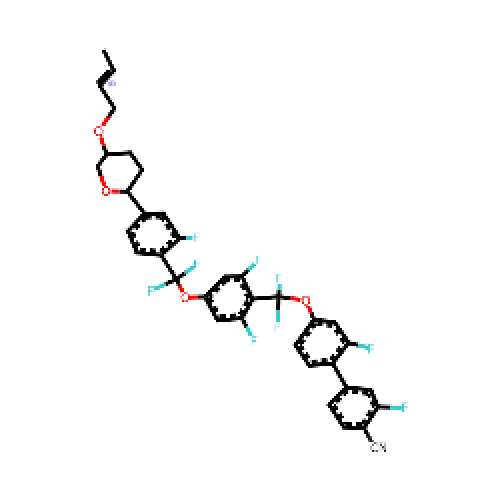 C/C=C/COC1CCC(c2ccc(C(F)(F)Oc3cc(F)c(C(F)(F)Oc4ccc(-c5ccc(C#N)c(F)c5)c(F)c4)c(F)c3)c(F)c2)OC1